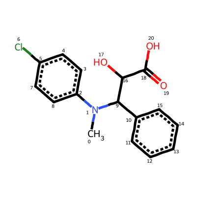 CN(c1ccc(Cl)cc1)C(c1ccccc1)C(O)C(=O)O